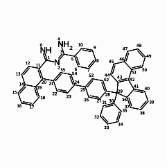 N=C(/N=C(\N)c1ccccc1)c1ccc2ccccc2c1-c1ccc(-c2ccc(C3(c4ccccc4)c4ccccc4-c4c3ccc3ccccc43)cc2)cc1